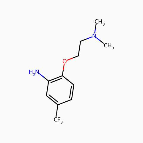 CN(C)CCOc1ccc(C(F)(F)F)cc1N